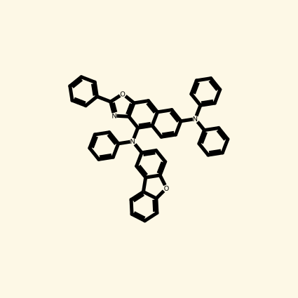 c1ccc(-c2nc3c(N(c4ccccc4)c4ccc5oc6ccccc6c5c4)c4ccc(N(c5ccccc5)c5ccccc5)cc4cc3o2)cc1